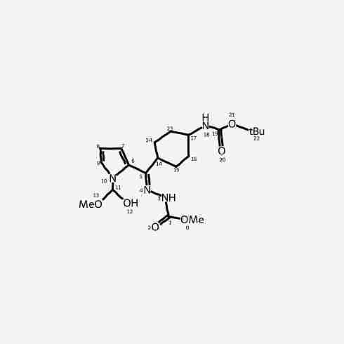 COC(=O)N/N=C(/c1cccn1C(O)OC)C1CCC(NC(=O)OC(C)(C)C)CC1